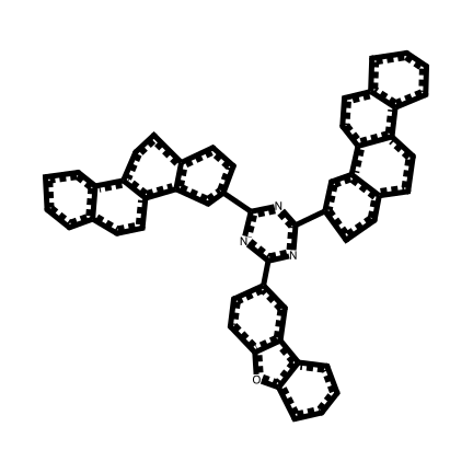 c1ccc2c(c1)ccc1c3cc(-c4nc(-c5ccc6ccc7c8ccccc8ccc7c6c5)nc(-c5ccc6oc7ccccc7c6c5)n4)ccc3ccc21